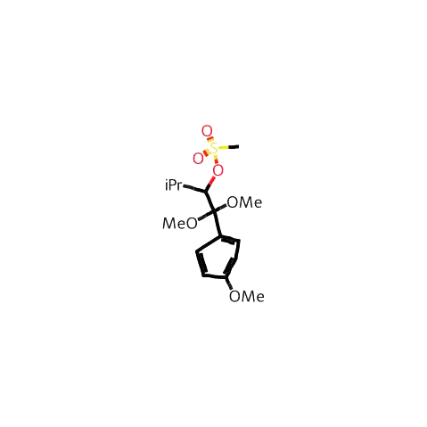 COc1ccc(C(OC)(OC)C(OS(C)(=O)=O)C(C)C)cc1